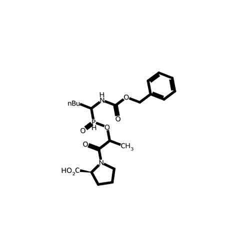 CCCCC(NC(=O)OCc1ccccc1)[PH](=O)OC(C)C(=O)N1CCC[C@H]1C(=O)O